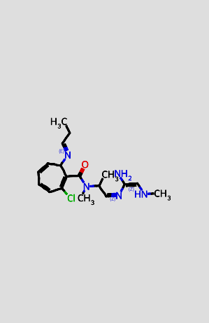 CC/C=N/C1C=CC=CC(Cl)=C1C(=O)N(C)C(C)/C=N\C(N)=C/NC